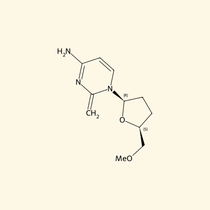 C=C1N=C(N)C=CN1[C@H]1CC[C@@H](COC)O1